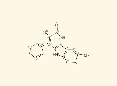 O=c1[nH]c2c([nH]c3ccc(Cl)cc32)c(-c2ccccc2)c1Cl